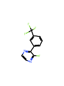 Fc1nccnc1-c1cc[c]c(C(F)(F)F)c1